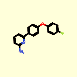 Nc1cccc(-c2ccc(Oc3ccc(F)cc3)cc2)n1